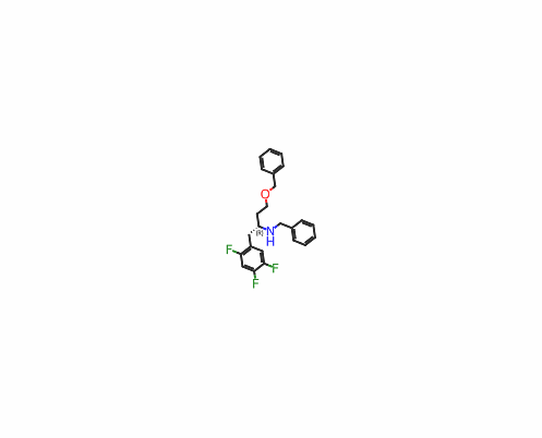 Fc1cc(F)c(C[C@H](CCOCc2ccccc2)NCc2ccccc2)cc1F